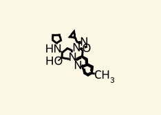 Cc1ccc2nc(N3CC[C@H](NC4CCCC4)[C@H](O)C3)c(-c3nc(C4CC4)no3)cc2c1